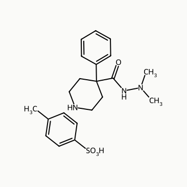 CN(C)NC(=O)C1(c2ccccc2)CCNCC1.Cc1ccc(S(=O)(=O)O)cc1